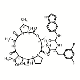 C[C@@H]1C[C@H]2C(=O)O[C@@H](C)[C@H](NC(=O)[C@H](Cc3cc(F)cc(F)c3)NC(=O)Nc3ccc4[nH]cnc4c3)C(=O)N3CCC[C@H]3C(=O)N(C)[C@@H]([C@H](C)O)C(=O)N[C@@H](C)C(=O)N2C1